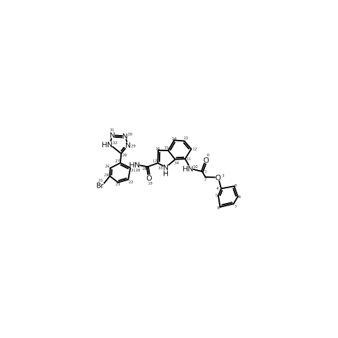 O=C(COc1ccccc1)Nc1cccc2cc(C(=O)Nc3ccc(Br)cc3-c3nnn[nH]3)[nH]c12